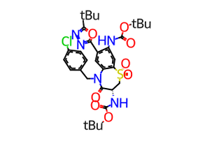 CC(C)(C)OC(=O)Nc1cc2c(cc1-c1nnc(C(C)(C)C)o1)N(Cc1ccc(Cl)cc1)C(=O)[C@@H](NC(=O)OC(C)(C)C)CS2(=O)=O